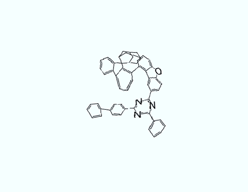 c1ccc(-c2ccc(-c3nc(-c4ccccc4)nc(-c4ccc5oc6cccc(-c7cccc8c7C7(c9ccccc9-8)C8CC9CC(C8)CC7C9)c6c5c4)n3)cc2)cc1